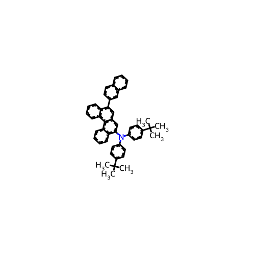 CC(C)(C)c1ccc(N(c2ccc(C(C)(C)C)cc2)c2cc3cc(-c4ccc5ccccc5c4)c4ccccc4c3c3ccccc23)cc1